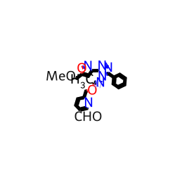 COCc1cc(-c2nnc(-c3ccccc3)n2/N=C(\C)OCc2ccc(C=O)cn2)no1